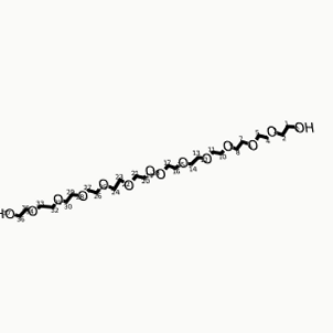 OCCOCCOCCOCCOCCOCCOOCCOCCOCCOCCOCCOCCO